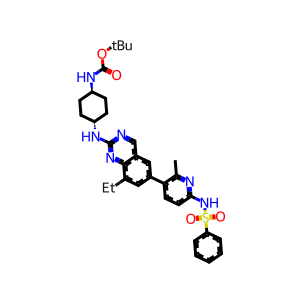 CCc1cc(-c2ccc(NS(=O)(=O)c3ccccc3)nc2C)cc2cnc(N[C@H]3CC[C@H](NC(=O)OC(C)(C)C)CC3)nc12